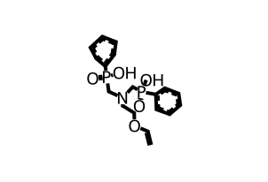 C=COCCN(CP(=O)(O)c1ccccc1)CP(=O)(O)c1ccccc1